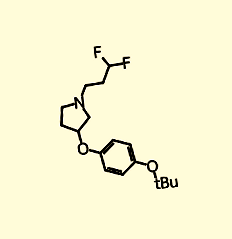 CC(C)(C)Oc1ccc(OC2CCN(CCC(F)F)C2)cc1